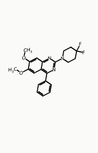 COc1cc2nc(N3CCC(F)(F)CC3)nc(-c3ccccc3)c2cc1OC